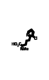 CN[C@@H](CCCc1ncccc1Cl)C(=O)O